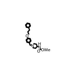 COC(=O)NC1CCN(Cc2ccc(OCCCc3ccccc3)cc2)CC1